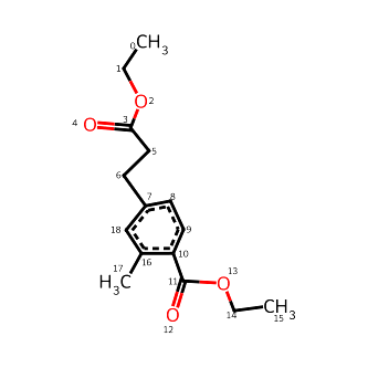 CCOC(=O)CCc1ccc(C(=O)OCC)c(C)c1